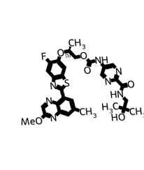 COc1cnc2c(-c3nc4cc(F)c(O[C@@H](C)COC(=O)Nc5cnc(C(=O)NCC(C)(C)O)nc5)cc4s3)cc(C)cc2n1